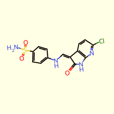 NS(=O)(=O)c1ccc(NC=C2C(=O)Nc3nc(Cl)ccc32)cc1